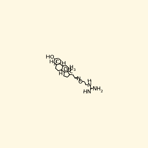 C[C@]12CCC(O)CC1CC[C@@H]1[C@H]2CC[C@]2(C)C(C/C=N/OCCNC(=N)N)CC[C@@]12O